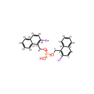 OP(OCc1c(I)ccc2ccccc12)OCc1c(I)ccc2ccccc12